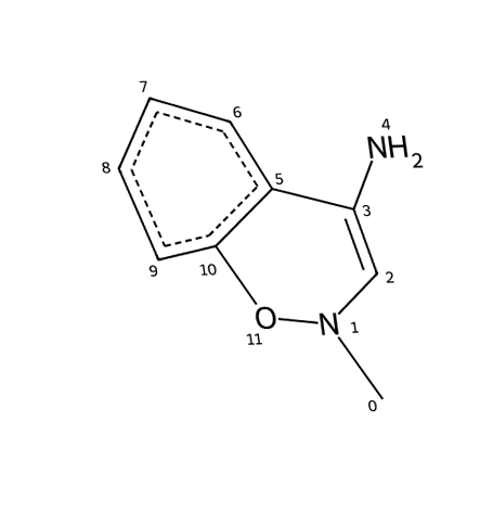 CN1C=C(N)c2ccccc2O1